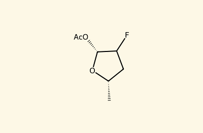 CC(=O)O[C@H]1O[C@@H](C)CC1F